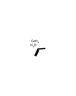 C=CC.O.[GeH4]